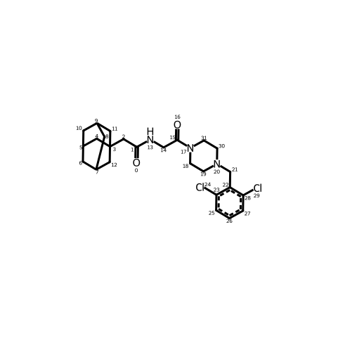 O=C(CC12CC3CC(CC(C3)C1)C2)NCC(=O)N1CCN(Cc2c(Cl)cccc2Cl)CC1